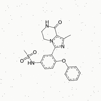 Cc1nc(-c2cc(NS(C)(=O)=O)ccc2Oc2ccccc2)n2c1C(=O)NCC2